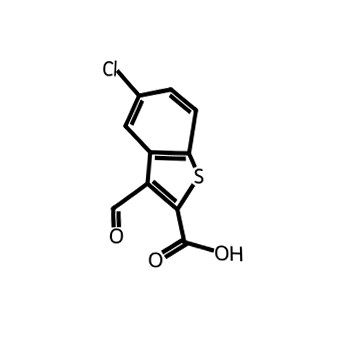 O=Cc1c(C(=O)O)sc2ccc(Cl)cc12